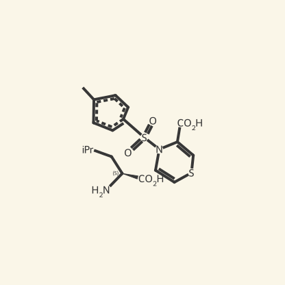 CC(C)C[C@H](N)C(=O)O.Cc1ccc(S(=O)(=O)N2C=CSC=C2C(=O)O)cc1